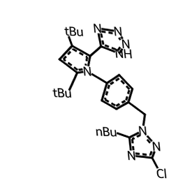 CCCCc1nc(Cl)nn1Cc1ccc(-n2c(C(C)(C)C)cc(C(C)(C)C)c2-c2nnn[nH]2)cc1